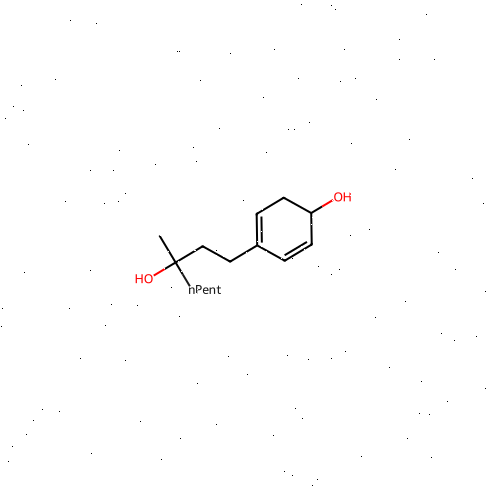 CCCCCC(C)(O)CCC1=CCC(O)C=C1